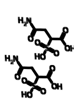 NC(=O)CC(C(=O)O)S(=O)(=O)O.NC(=O)CC(C(=O)O)S(=O)(=O)O